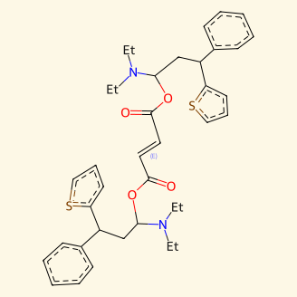 CCN(CC)C(CC(c1ccccc1)c1cccs1)OC(=O)/C=C/C(=O)OC(CC(c1ccccc1)c1cccs1)N(CC)CC